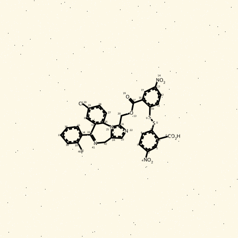 O=C(O)c1cc([N+](=O)[O-])ccc1SSc1ccc([N+](=O)[O-])cc1C(=O)OCc1ncc2n1-c1ccc(Cl)cc1C(c1ccccc1F)=NC2